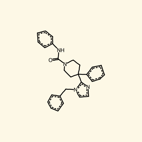 O=C(Nc1ccccc1)N1CCC(c2ccccc2)(c2nccn2Cc2ccccc2)CC1